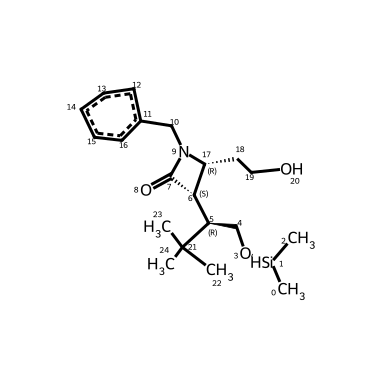 C[SiH](C)OC[C@H]([C@@H]1C(=O)N(Cc2ccccc2)[C@@H]1CCO)C(C)(C)C